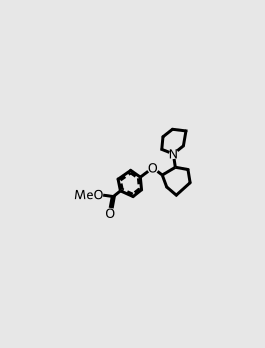 COC(=O)c1ccc(OC2CCCCC2N2CCCCC2)cc1